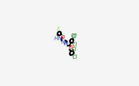 O=C(Cn1cc[n+](CC(OCc2ccc(Cl)cc2Cl)c2ccc(Cl)cc2Cl)c1)Nc1ccc(F)cc1.[Cl-]